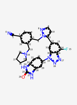 N#Cc1ccc(Cn2nccc2-c2cc(F)c3nnn(-c4ccc5[nH]c(=O)[nH]c5c4)c3c2)c(CN2CCCC2)c1